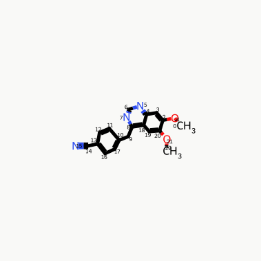 COc1cc2ncnc(Cc3ccc(C#N)cc3)c2cc1OC